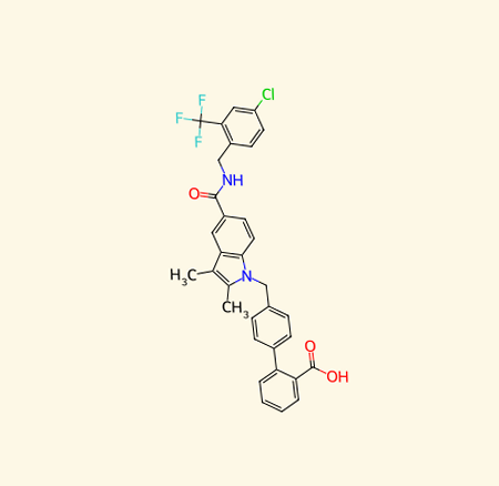 Cc1c(C)n(Cc2ccc(-c3ccccc3C(=O)O)cc2)c2ccc(C(=O)NCc3ccc(Cl)cc3C(F)(F)F)cc12